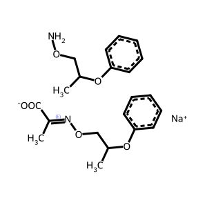 C/C(=N\OCC(C)Oc1ccccc1)C(=O)[O-].CC(CON)Oc1ccccc1.[Na+]